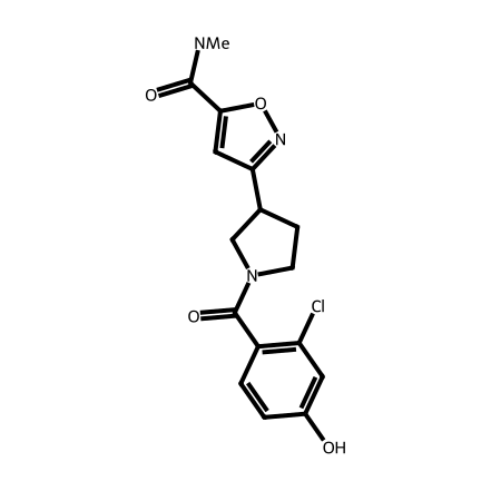 CNC(=O)c1cc(C2CCN(C(=O)c3ccc(O)cc3Cl)C2)no1